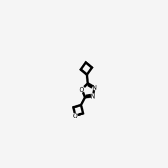 C1CC(c2nnc(C3COC3)o2)C1